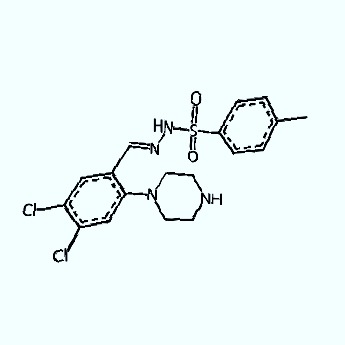 Cc1ccc(S(=O)(=O)N/N=C/c2cc(Cl)c(Cl)cc2N2CCNCC2)cc1